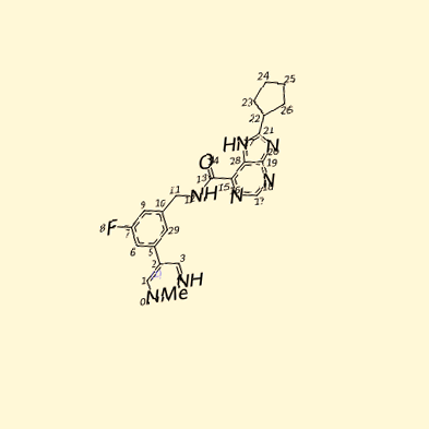 CN/C=C(\C=N)c1cc(F)cc(CNC(=O)c2ncnc3nc(C4CCCC4)[nH]c23)c1